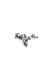 CC[C@H](NS(=O)(=O)c1ccc(-c2sc(-c3cccc(CC(C)(C)C(=O)O)n3)nc2C(=O)N2CC(F)(F)C[C@@H]2C)c(C(F)F)c1F)C(F)(F)F